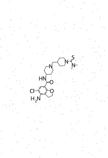 CN(C)C(=S)N1CCC(CN2CCC(NC(=O)c3cc(Cl)c(N)c4c3OCC4)CC2)CC1